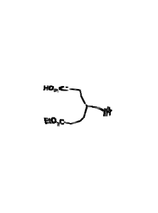 CCCC(CC(=O)O)CC(=O)OCC